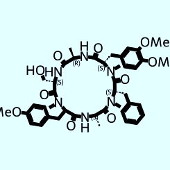 COc1ccc(CC2C(=O)N[C@@H](C)C(=O)N(C)[C@@H](Cc3ccccc3)C(=O)N(C)[C@@H](Cc3ccc(OC)c(OC)c3)C(=O)N[C@H](C)C(=O)N[C@@H](CO)C(=O)N2C)cc1